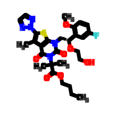 CCCCOC(=O)C(C)(C)n1c(=O)c2c(C)c(-n3nccn3)sc2n(C[C@@H](OCCO)c2cc(F)ccc2OC)c1=O